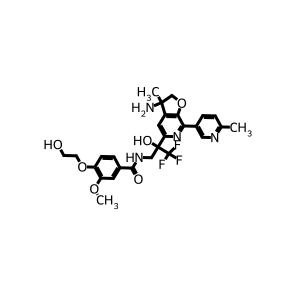 COc1cc(C(=O)NCC(O)(c2cc3c(c(-c4ccc(C)nc4)n2)OCC3(C)N)C(F)(F)F)ccc1OCCO